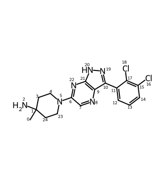 CC1(N)CCN(c2cnc3c(-c4cccc(Cl)c4Cl)n[nH]c3n2)CC1